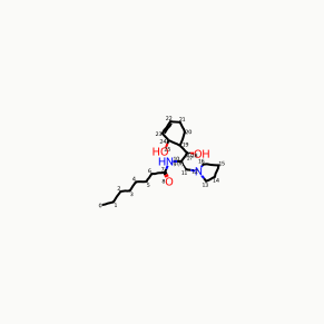 CCCCCCCC(=O)N[C@H](CN1CCCC1)[C@H](O)C1CCC=CC1O